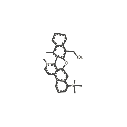 Cc1c2c(c(CC(C)(C)C)c3ccccc13)Oc1cc3c([Si](C)(C)C)cccc3c3cc[n+](C)c-2c13